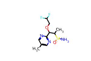 Cc1cnc(C(OCC(F)F)C(C)[S+](N)[O-])nc1